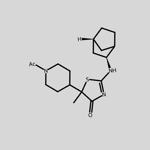 CC(=O)N1CCC(C2(C)SC(N[C@H]3C[C@@H]4CCC3C4)=NC2=O)CC1